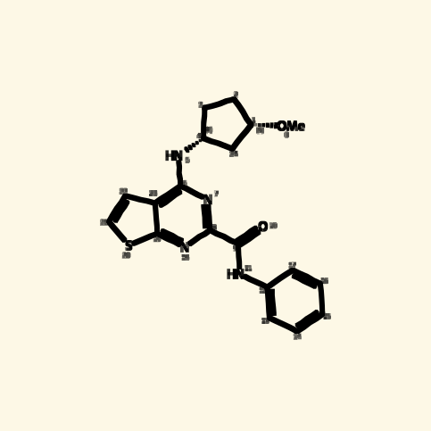 CO[C@H]1CC[C@@H](Nc2nc(C(=O)Nc3ccccc3)nc3sccc23)C1